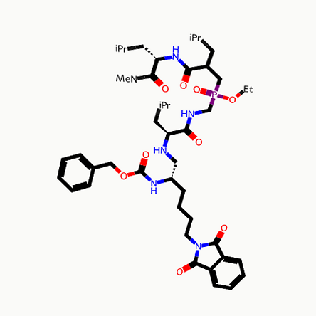 CCOP(=O)(CNC(=O)[C@H](CC(C)C)NC[C@H](CCCCN1C(=O)c2ccccc2C1=O)NC(=O)OCc1ccccc1)CC(CC(C)C)C(=O)N[C@@H](CC(C)C)C(=O)NC